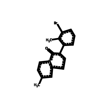 Cc1ccn2c(=O)c(-c3cccc(Br)c3C)ccc2c1